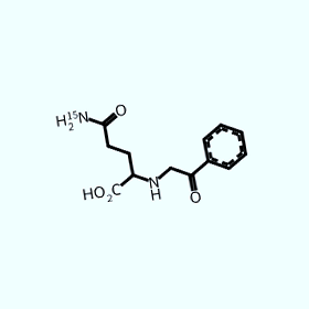 [15NH2]C(=O)CCC(NCC(=O)c1ccccc1)C(=O)O